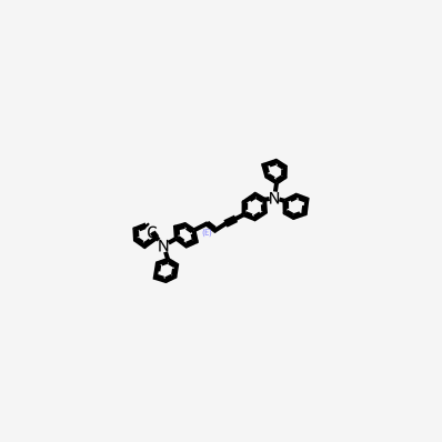 C(#Cc1ccc(N(c2ccccc2)c2ccccc2)cc1)/C=C/c1ccc(N(c2ccccc2)c2ccccc2)cc1